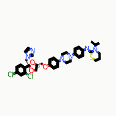 CC(C)N1CCCSC1=Nc1ccc(N2CCN(c3ccc(OC[C@@H]4CO[C@@](Cn5ccnc5)(c5ccc(Cl)cc5Cl)O4)cc3)CC2)cc1